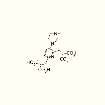 O=C(O)C(Cc1ccc(N2CCNCC2)c(CC(C(=O)O)C(=O)O)n1)C(=O)O